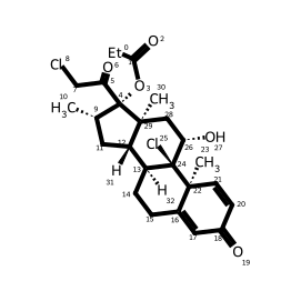 CCC(=O)O[C@@]1(C(=O)CCl)[C@@H](C)C[C@H]2[C@@H]3CCC4=CC(=O)C=C[C@]4(C)[C@@]3(Cl)[C@@H](O)C[C@@]21C